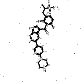 CC(Cc1ccc(F)c(C(=O)c2c[nH]c3ncc(-c4cnc(N5CCNCC5)nc4)cc23)c1F)S(N)(=O)=O